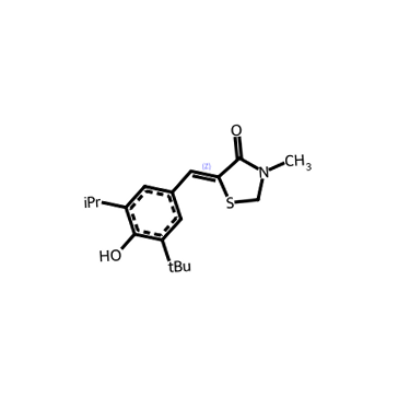 CC(C)c1cc(/C=C2\SCN(C)C2=O)cc(C(C)(C)C)c1O